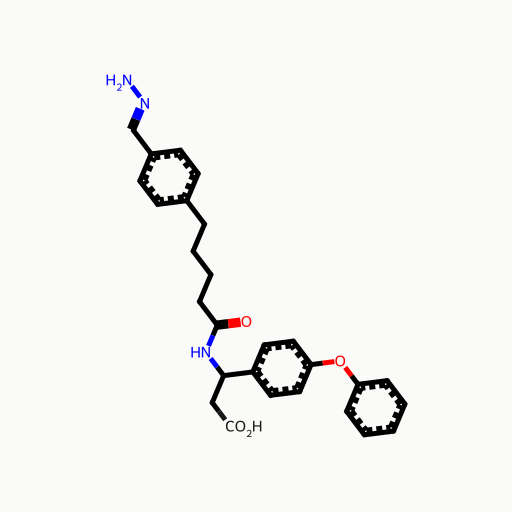 NN=Cc1ccc(CCCCC(=O)NC(CC(=O)O)c2ccc(Oc3ccccc3)cc2)cc1